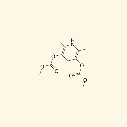 COC(=O)OC1=C(C)NC(C)=C(OC(=O)OC)C1